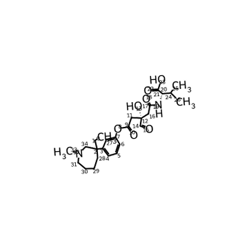 CCC1(c2cccc(OC(=O)C[C@](O)(C=O)CC(=O)N[C@H](C(=O)O)C(C)C)c2)CCCCN(C)C1